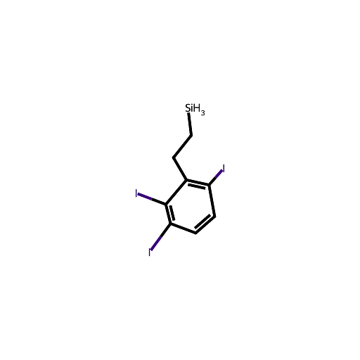 [SiH3]CCc1c(I)ccc(I)c1I